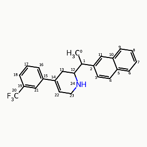 CC(c1ccc2ccccc2c1)C1CC(c2cccc(C(F)(F)F)c2)=CCN1